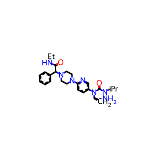 C=CN(C(=O)N(N)C(C)C)c1ccc(N2CCN(C(C(=O)NCC)c3ccccc3)CC2)nc1